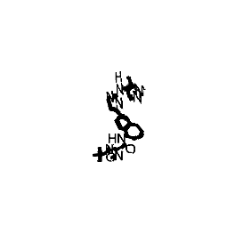 Cc1c(Nc2nccc(-c3ccc4c(c3)CCCCC4NC(=O)c3noc(C(C)(C)C)n3)n2)cnn1C